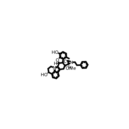 CO[C@@]12Cc3c(n4c5c(cccc35)[C@@H](O)CC4)[C@@H]3Oc4c(O)ccc(C)c4[C@@]31CC1[C@H]2N1CCc1ccccc1